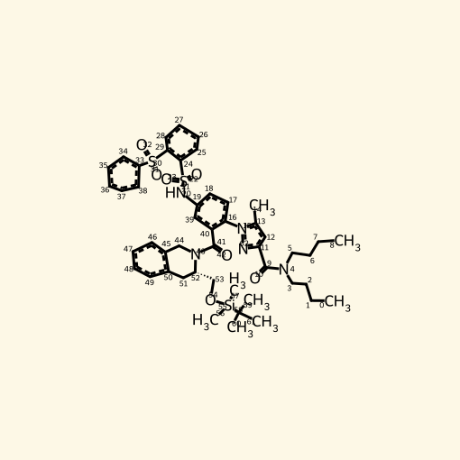 CCCCN(CCCC)C(=O)c1cc(C)n(-c2ccc(NS(=O)(=O)c3ccccc3S(=O)(=O)c3ccccc3)cc2C(=O)N2Cc3ccccc3C[C@H]2CO[Si](C)(C)C(C)(C)C)n1